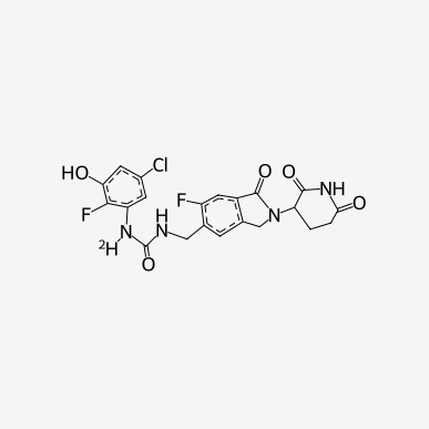 [2H]N(C(=O)NCc1cc2c(cc1F)C(=O)N(C1CCC(=O)NC1=O)C2)c1cc(Cl)cc(O)c1F